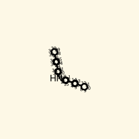 c1cc(-c2ccc(C3CCCCC3)cc2)ccc1Nc1ccc(-c2ccc(C3CCCCC3)cc2)cc1